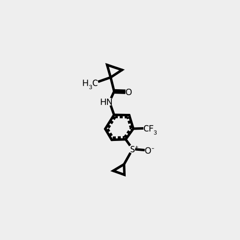 CC1(C(=O)Nc2ccc([S+]([O-])C3CC3)c(C(F)(F)F)c2)CC1